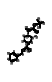 C[C@@H]1CN(C(=O)OCc2ccccc2)CC[C@@H]1N(C)C(=O)OC(C)(C)C